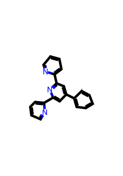 [c]1ccccc1-c1cc(-c2ccccn2)nc(-c2ccccn2)c1